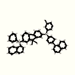 Cc1cccc(N(c2ccc(-c3cccc4ccccc34)cc2)c2ccc3c(c2)C(C)(C)c2cc(N(c4ccccc4)c4cccc5ccccc45)ccc2-3)c1